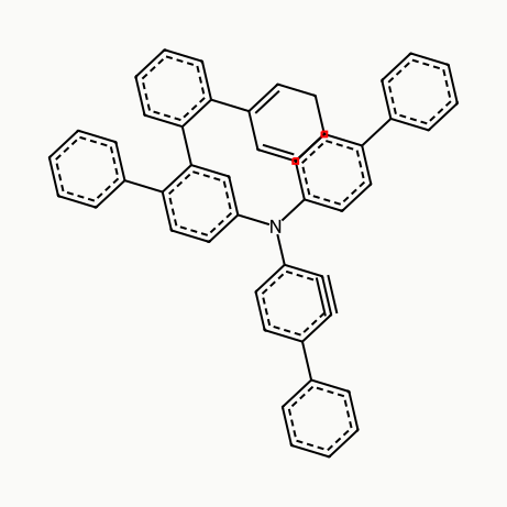 c1c(-c2ccccc2)ccc(N(c2ccc(-c3ccccc3)cc2)c2ccc(-c3ccccc3)c(-c3ccccc3C3=CCCC=C3)c2)c#1